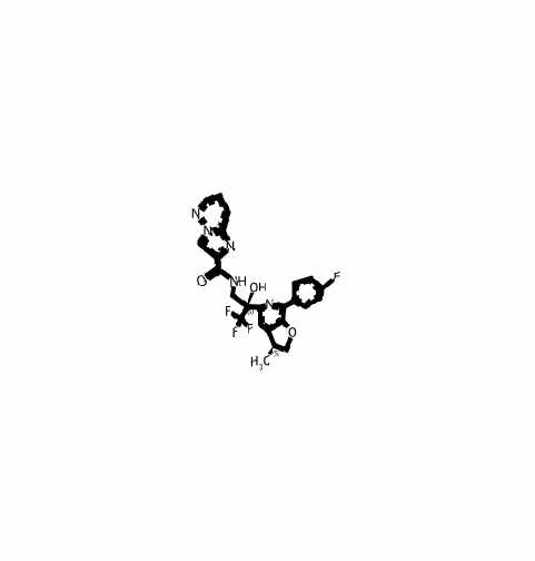 C[C@@H]1COc2c1cc([C@@](O)(CNC(=O)c1cn3ncccc3n1)C(F)(F)F)nc2-c1ccc(F)cc1